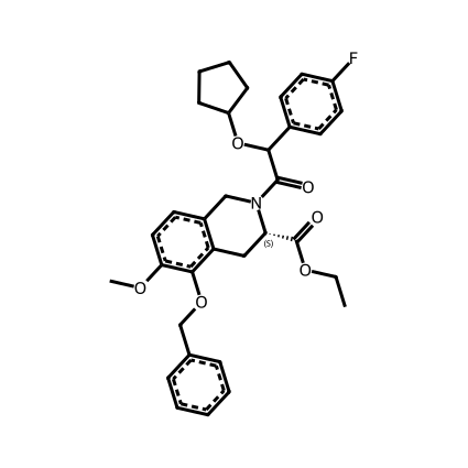 CCOC(=O)[C@@H]1Cc2c(ccc(OC)c2OCc2ccccc2)CN1C(=O)C(OC1CCCC1)c1ccc(F)cc1